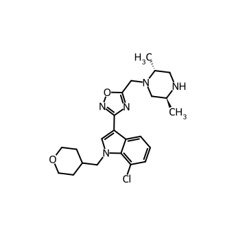 C[C@@H]1CN[C@@H](C)CN1Cc1nc(-c2cn(CC3CCOCC3)c3c(Cl)cccc23)no1